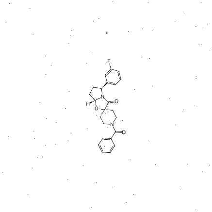 O=C(c1ccccc1)N1CCC2(CC1)O[C@@H]1CC[C@@H](c3cccc(F)c3)N1C2=O